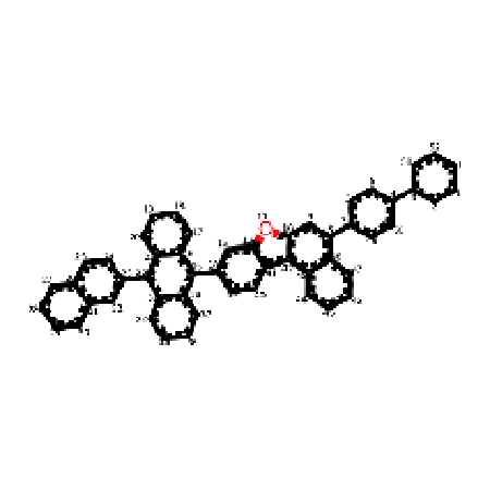 c1ccc(-c2ccc(-c3cc4oc5cc(-c6c7ccccc7c(-c7ccc8ccccc8c7)c7ccccc67)ccc5c4c4ccccc34)cc2)cc1